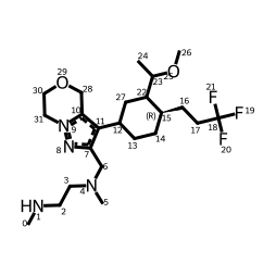 CNCCN(C)Cc1nn2c(c1C1CC[C@H](CCC(F)(F)F)C(C(C)OC)C1)COCC2